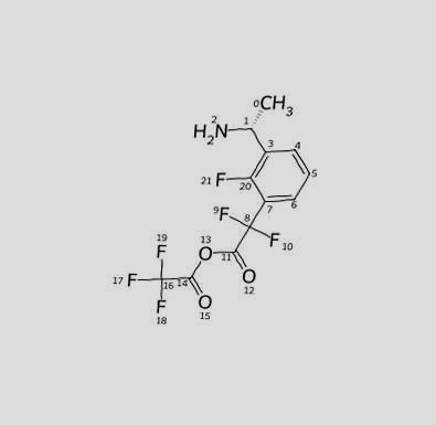 C[C@@H](N)c1cccc(C(F)(F)C(=O)OC(=O)C(F)(F)F)c1F